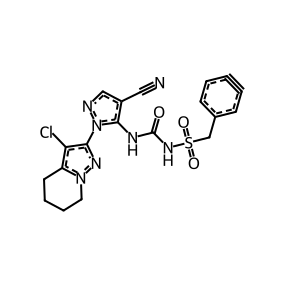 N#Cc1cnn(-c2nn3c(c2Cl)CCCC3)c1NC(=O)NS(=O)(=O)Cc1cc#ccc1